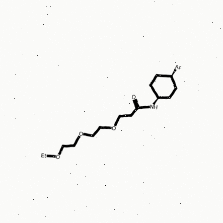 CCOCCOCCOCCC(=O)N[C@H]1CC[C@@H](C(C)=O)CC1